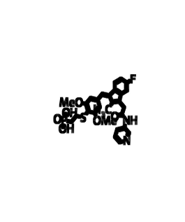 COc1cc(C=C2C(C)=C(CC(=O)Nc3cccnc3)c3cc(F)ccc32)cc(OC)c1SCCP(=O)(O)O